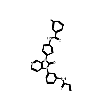 C=CC(=O)Nc1cccc(-n2c(=O)n(-c3ccc(NC(=O)c4cccc(F)c4)cc3)c3cnccc32)c1